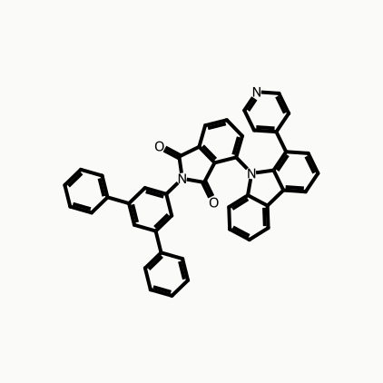 O=C1c2cccc(-n3c4ccccc4c4cccc(-c5ccncc5)c43)c2C(=O)N1c1cc(-c2ccccc2)cc(-c2ccccc2)c1